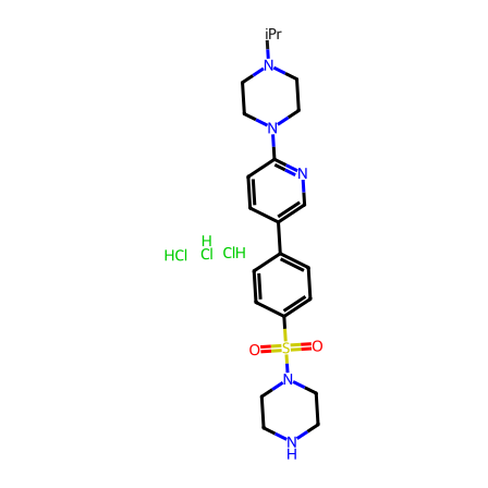 CC(C)N1CCN(c2ccc(-c3ccc(S(=O)(=O)N4CCNCC4)cc3)cn2)CC1.Cl.Cl.Cl